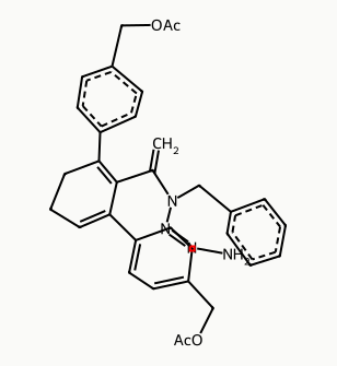 C=C(C1=C(c2ccc(COC(C)=O)cc2)CCC=C1C1=CC=C(COC(C)=O)CC1)N(Cc1ccccc1)/N=N\N